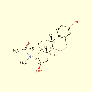 CC(=O)N(C)[C@H]1[C@H](O)C[C@H]2[C@@H]3CCc4cc(O)ccc4[C@H]3CC[C@]12C